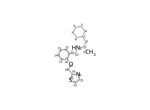 CC(CC1CCCCC1)NCc1ccccc1OCc1nccs1